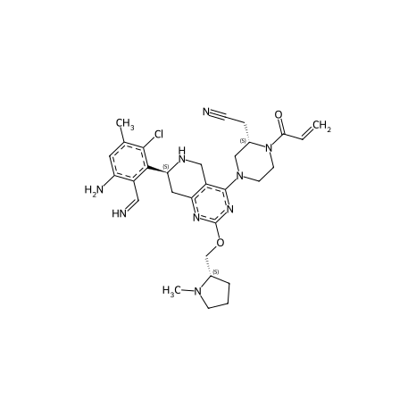 C=CC(=O)N1CCN(c2nc(OC[C@@H]3CCCN3C)nc3c2CN[C@H](c2c(Cl)c(C)cc(N)c2C=N)C3)C[C@@H]1CC#N